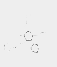 COCOc1cc(OCOC)c(-c2ccccc2)c(COCC2CCCO2)c1Br